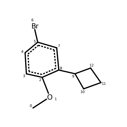 COc1ccc(Br)cc1C1CCC1